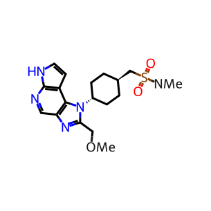 CNS(=O)(=O)C[C@H]1CC[C@H](n2c(COC)nc3cnc4[nH]ccc4c32)CC1